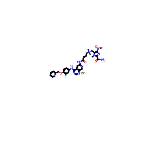 Cn1c(C(N)=O)nc([N+](=O)[O-])c1C[N+](C)(C)C/C=C/C(=O)Nc1cc2c(Nc3ccc(OCc4ccccn4)c(F)c3)ncnc2cn1.[Br-]